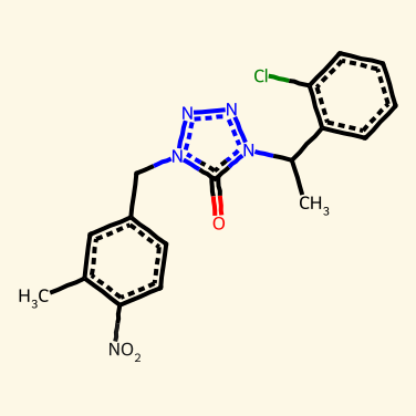 Cc1cc(Cn2nnn(C(C)c3ccccc3Cl)c2=O)ccc1[N+](=O)[O-]